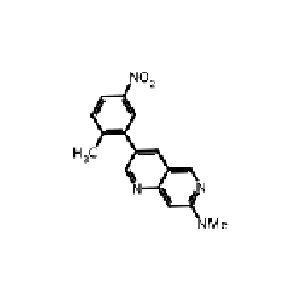 CNc1cc2ncc(-c3cc([N+](=O)[O-])ccc3C)cc2cn1